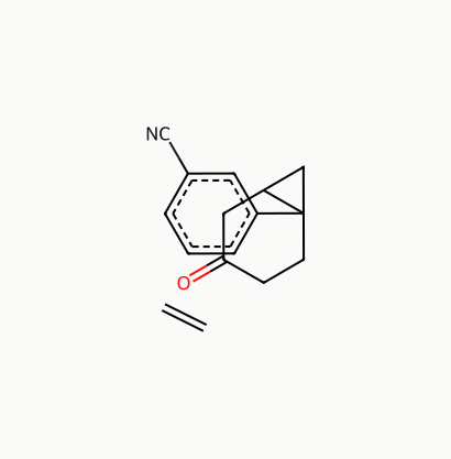 C=C.N#Cc1cccc(C23CCC(=O)CC2C3)c1